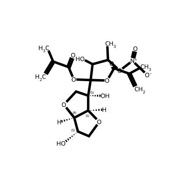 C=C(C)C(=O)OC(OC(=O)C(=C)C)(C(O)C(C)O[N+](=O)[O-])[C@]1(O)CO[C@@H]2[C@@H](O)CO[C@@H]21